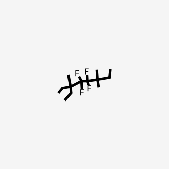 CCC(C)(C)C(F)(F)C(F)(F)C(C)(CC)CC